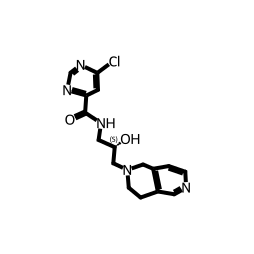 O=C(NC[C@H](O)CN1CCc2cnccc2C1)c1cc(Cl)ncn1